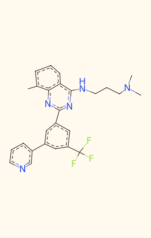 Cc1cccc2c(NCCCN(C)C)nc(-c3cc(-c4cccnc4)cc(C(F)(F)F)c3)nc12